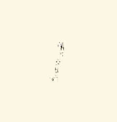 CC1(C)C(Oc2ccc(C#N)c(Cl)c2)C(C)(C)C1N1Cc2cc(N3CCN(C4CC5(CCN(c6ccc7c(c6)C(=O)N(C6CCC(=O)NC6=O)C7=O)CC5)C4)CC3)ccc2C1=O